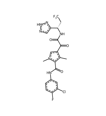 Cc1c(C(=O)C(=O)N[C@@H](CC(F)(F)F)c2cn[nH]n2)cn(C)c1C(=O)Nc1ccc(F)c(Cl)c1